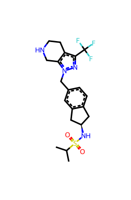 CC(C)S(=O)(=O)N[C@@H]1Cc2ccc(Cn3nc(C(F)(F)F)c4c3CNCC4)cc2C1